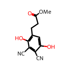 COC(=O)CCc1cc(O)c(C#N)c(C#N)c1O